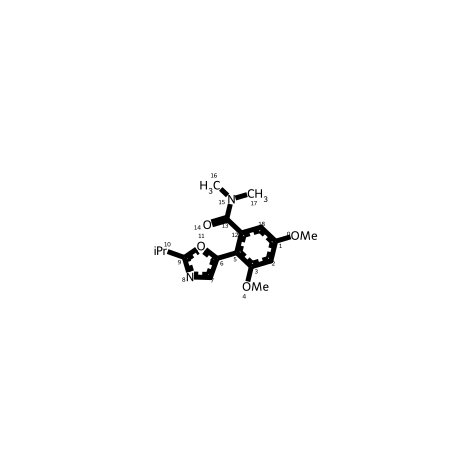 COc1cc(OC)c(-c2cnc(C(C)C)o2)c(C(=O)N(C)C)c1